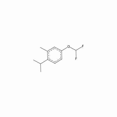 Cc1cc(OC(F)F)ccc1C(C)C